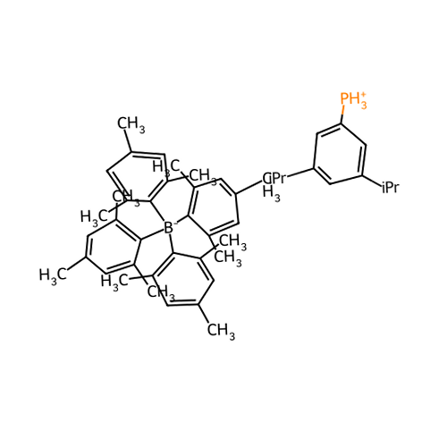 CC(C)c1cc([PH3+])cc(C(C)C)c1.Cc1cc(C)c([B-](c2c(C)cc(C)cc2C)(c2c(C)cc(C)cc2C)c2c(C)cc(C)cc2C)c(C)c1